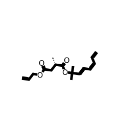 C=C/C=C\C=C\C(C)(C)OC(=O)[C@@H](C)CC(=O)OCC=C